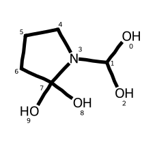 OC(O)N1CCCC1(O)O